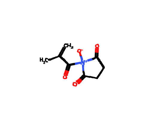 C=C(C)C(=O)[N+]1([O-])C(=O)CCC1=O